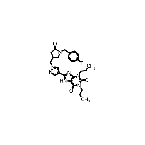 CCCn1c(=O)c2[nH]c(-c3cnn(CC4CC(=O)N(Cc5ccc(F)cc5)C4)c3)nc2n(CCC)c1=O